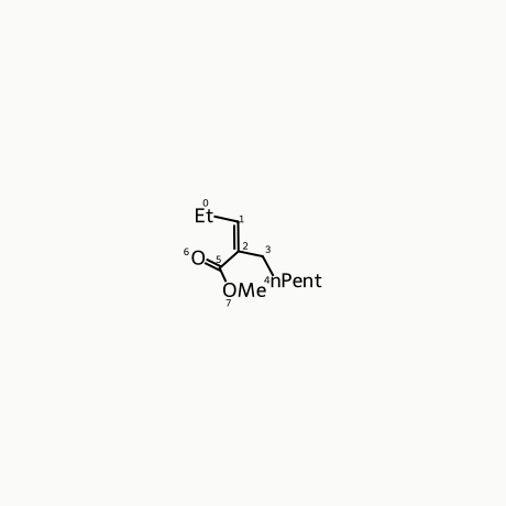 CCC=C(CCCCCC)C(=O)OC